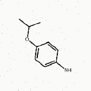 CC(C)Oc1ccc([NH])cc1